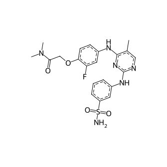 Cc1cnc(Nc2cccc(S(N)(=O)=O)c2)nc1Nc1ccc(OCC(=O)N(C)C)c(F)c1